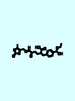 CCOC(O)c1ccc(CC(CCC(=O)NOCc2oc(=O)oc2C)C(=O)O)cc1